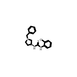 S=C(Nc1ccccc1Cl)N[C@H]1CCN(Cc2ccccc2)C1